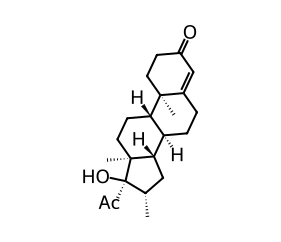 CC(=O)[C@@]1(O)[C@@H](C)C[C@H]2[C@@H]3CCC4=CC(=O)CC[C@]4(C)[C@H]3CC[C@@]21C